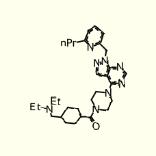 CCCc1cccc(Cn2ncc3c(N4CCN(C(=O)C5CCC(CN(CC)CC)CC5)CC4)ncnc32)n1